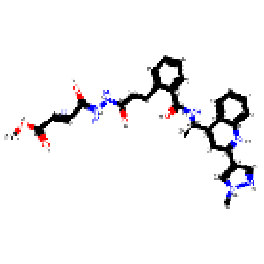 CC(C)OC(=O)/C=C/C(=O)NNC(=O)CCc1ccccc1C(=O)N[C@H](C)c1cc(-c2cnn(C)c2)nc2ccccc12